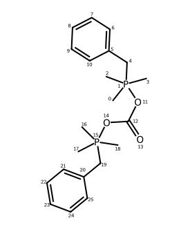 CP(C)(C)(Cc1ccccc1)OC(=O)OP(C)(C)(C)Cc1ccccc1